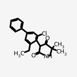 CCc1cc(-c2ccccc2)cc(Cl)c1C1C(=O)NCC(C)(C)C1=O